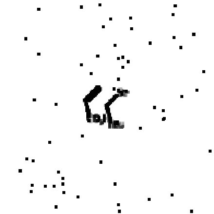 C=CC(=O)O.CCCCC[Se]